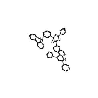 c1ccc(-c2cc(-c3cccc(-n4c5ccccc5c5ccccc54)c3)nc(-c3ccc4c(ccc5nc(-c6ccccc6)cc(-c6ccccc6)c54)c3)n2)cc1